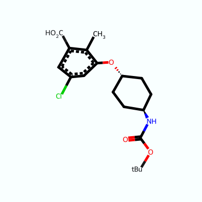 Cc1c(O[C@H]2CC[C@H](NC(=O)OC(C)(C)C)CC2)cc(Cl)cc1C(=O)O